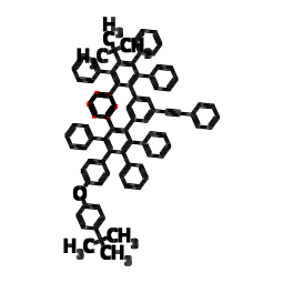 CC(C)(C)c1ccc(Oc2ccc(-c3c(-c4ccccc4)c(-c4ccccc4)c(-c4cc(C#Cc5ccccc5)cc(-c5c(-c6ccccc6)c(-c6ccccc6)c(C(C)(C)C)c(-c6ccccc6)c5-c5ccccc5)c4)c(-c4ccccc4)c3-c3ccccc3)cc2)cc1